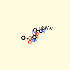 CSc1nccc(-c2cccnc2Oc2c(C)cc(NS(=O)(=O)CCc3ccccc3)c(F)c2F)n1